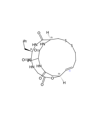 CC(C)C[C@H]1NC(=O)[C@H]2CSSCC/C=C/[C@H](CC(=O)NC(C(C)C)C(=O)N2)OC(=O)CNC1=O